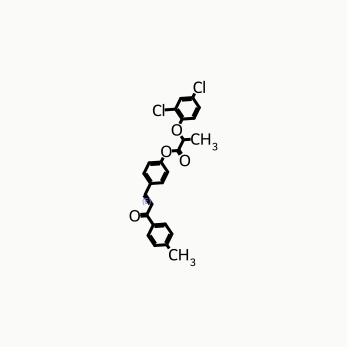 Cc1ccc(C(=O)/C=C/c2ccc(OC(=O)C(C)Oc3ccc(Cl)cc3Cl)cc2)cc1